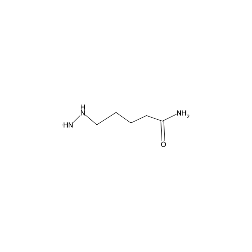 [NH]NCCCCC(N)=O